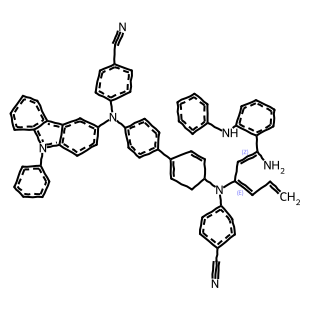 C=C/C=C(\C=C(/N)c1ccccc1Nc1ccccc1)N(c1ccc(C#N)cc1)C1C=CC(c2ccc(N(c3ccc(C#N)cc3)c3ccc4c(c3)c3ccccc3n4-c3ccccc3)cc2)=CC1